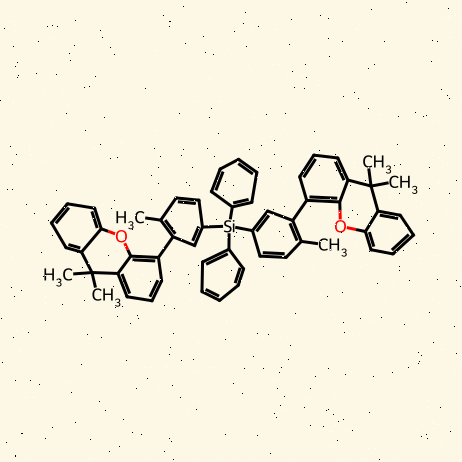 Cc1ccc([Si](c2ccccc2)(c2ccccc2)c2ccc(C)c(-c3cccc4c3Oc3ccccc3C4(C)C)c2)cc1-c1cccc2c1Oc1ccccc1C2(C)C